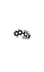 COC(Cc1ncc[nH]1)c1ccc2ccccc2c1